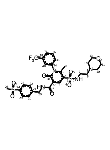 Cc1c(S(=O)(=O)NCCN2CCOCC2)cc(C(=O)NCc2ccc(S(C)(=O)=O)cc2)c(=O)n1-c1cccc(C(F)(F)F)c1